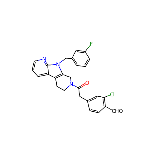 O=Cc1ccc(CC(=O)N2CCc3c(n(Cc4cccc(F)c4)c4ncccc34)C2)cc1Cl